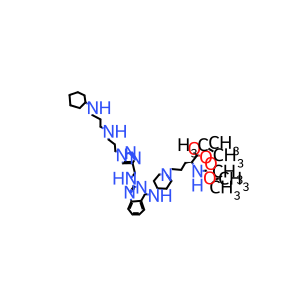 CC(C)(C)OC(=O)N[C@@H](CCCN1CCC(Nc2nc(NCc3cn(CCCNCCCNC4CCCCC4)nn3)nc3ccccc23)CC1)C(=O)OC(C)(C)C